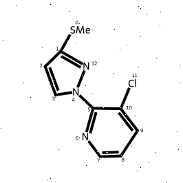 CSc1c[c]n(-c2ncccc2Cl)n1